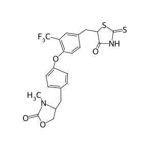 CN1C(=O)OCC1Cc1ccc(Oc2ccc(CC3SC(=S)NC3=O)cc2C(F)(F)F)cc1